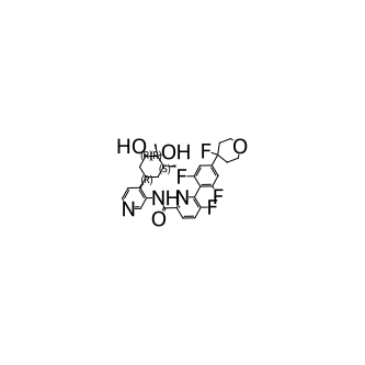 C[C@H]1C[C@@H](c2ccncc2NC(=O)c2ccc(F)c(-c3c(F)cc(C4(F)CCOCC4)cc3F)n2)C[C@@H](O)[C@]1(C)O